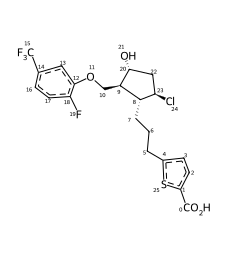 O=C(O)c1ccc(CCC[C@@H]2[C@@H](COc3cc(C(F)(F)F)ccc3F)[C@H](O)C[C@H]2Cl)s1